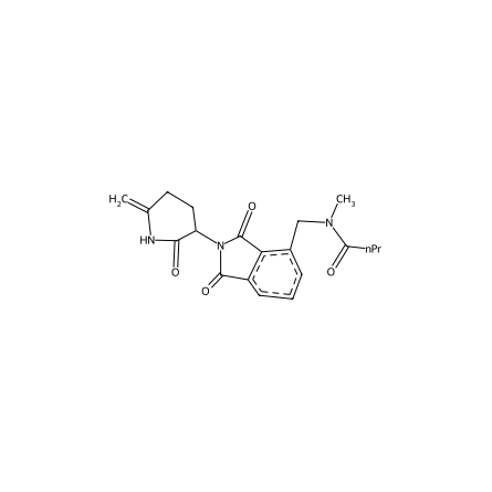 C=C1CCC(N2C(=O)c3cccc(CN(C)C(=O)CCC)c3C2=O)C(=O)N1